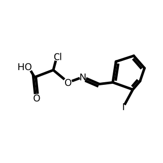 O=C(O)C(Cl)ON=Cc1ccccc1I